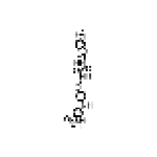 O=C(NCCO[C@H]1CC[C@H](Nc2ccc([N+](=O)[O-])c(C(F)(F)F)c2)CC1)C(=O)NCC1Cc2cc(C(F)(F)F)ccc2O1